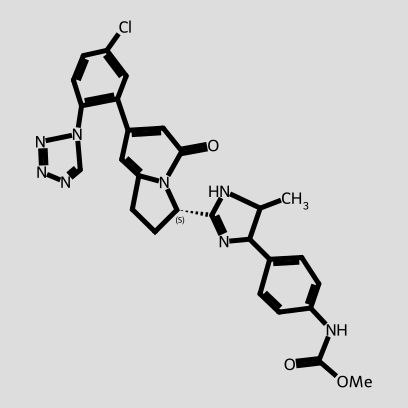 COC(=O)Nc1ccc(C2N=C([C@@H]3CCc4cc(-c5cc(Cl)ccc5-n5cnnn5)cc(=O)n43)NC2C)cc1